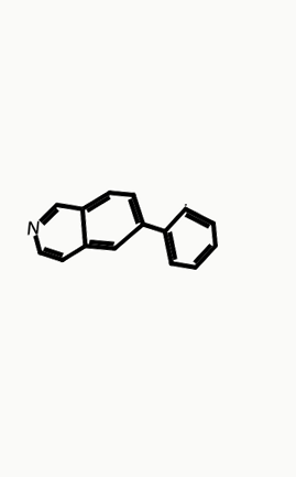 [c]1ccccc1-c1ccc2cnccc2c1